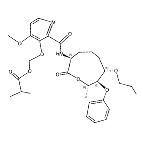 CCCO[C@H]1CCC[C@H](NC(=O)c2nccc(OC)c2OCOC(=O)C(C)C)C(=O)O[C@@H](C)[C@@H]1Oc1ccccc1